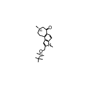 C[C@@H]1CCc2c(ccc3c2cc(CO[Si](C)(C)C(C)(C)C)n3C)C(=O)C1